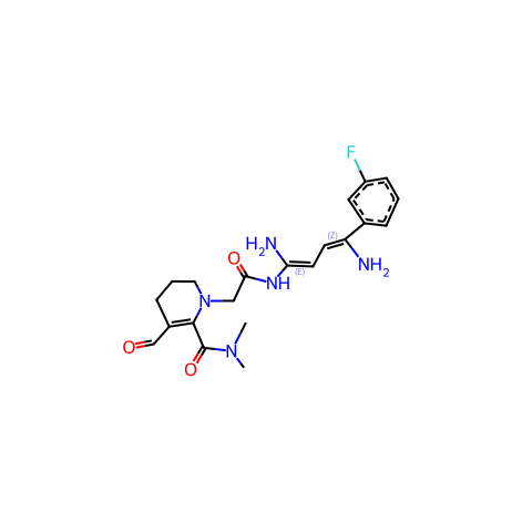 CN(C)C(=O)C1=C(C=O)CCCN1CC(=O)N/C(N)=C/C=C(\N)c1cccc(F)c1